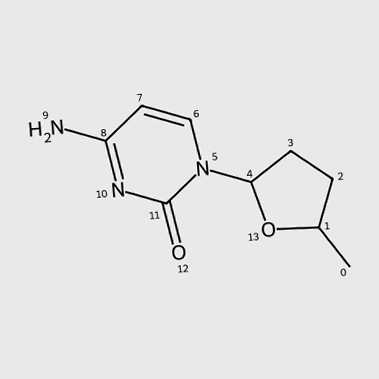 CC1CCC(n2ccc(N)nc2=O)O1